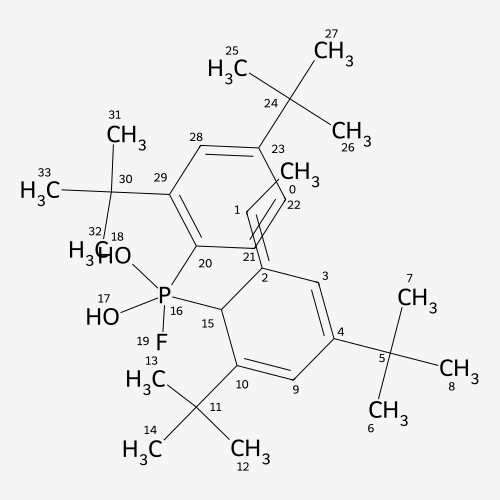 CC=C1C=C(C(C)(C)C)C=C(C(C)(C)C)C1P(O)(O)(F)c1ccc(C(C)(C)C)cc1C(C)(C)C